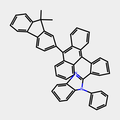 CC1(C)c2ccccc2-c2ccc(-c3c4ccccc4c(-c4ccccc4-c4nc5ccccc5n4-c4ccccc4)c4ccccc34)cc21